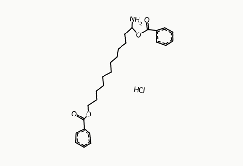 Cl.NC(CCCCCCCCCCCOC(=O)c1ccccc1)OC(=O)c1ccccc1